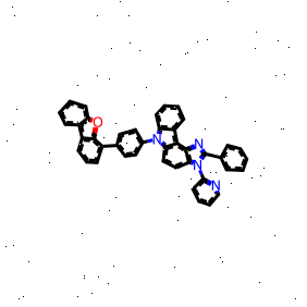 c1ccc(-c2nc3c4c5ccccc5n(-c5ccc(-c6cccc7c6oc6ccccc67)cc5)c4ccc3n2-c2ccccn2)cc1